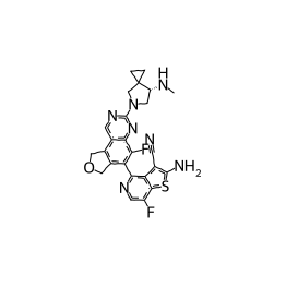 CN[C@@H]1CN(c2ncc3c4c(c(-c5ncc(F)c6sc(N)c(C#N)c56)c(F)c3n2)COC4)CC12CC2